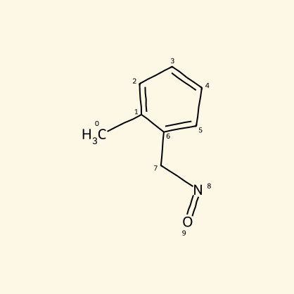 Cc1ccccc1CN=O